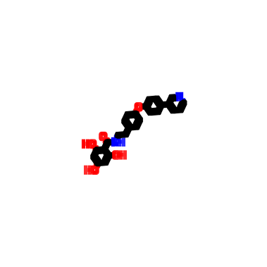 O=C(NCCc1ccc(Oc2ccc(-c3cccnc3)cc2)cc1)c1c(O)cc(O)cc1O